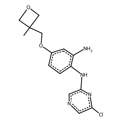 CC1(COc2ccc(Nc3cncc(Cl)n3)c(N)c2)COC1